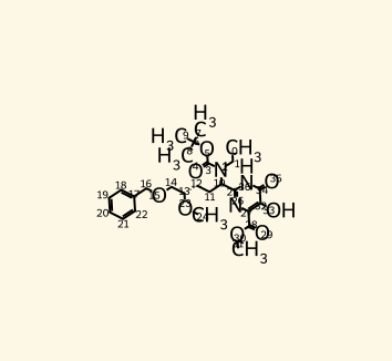 CCN(C(=O)OC(C)(C)C)C(CC[C@@H](COCc1ccccc1)OC)c1nc(C(=O)OC)c(O)c(=O)[nH]1